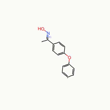 C/C(=N\O)c1ccc(Oc2cc[c]cc2)cc1